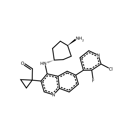 N[C@H]1CC[C@H](Nc2c(C3(C=O)CC3)cnc3ccc(-c4ccnc(Cl)c4F)cc23)CC1